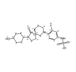 CCS(=O)(=O)Nc1ccc(N2CCC[C@]3(CCN(C4CCC(O)CC4)C3=O)C2)c(F)c1